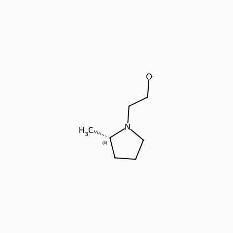 C[C@H]1CCCN1CC[O]